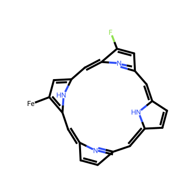 FC1=Cc2cc3ccc(cc4nc(cc5[nH]c(cc1n2)c[c]5[Fe])C=C4)[nH]3